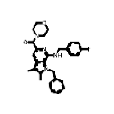 Cc1c(C)n(Cc2ccccc2)c2c(NCc3ccc(F)cc3)nc(C(=O)N3CCOCC3)cc12